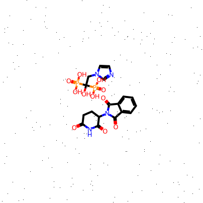 O=C1CCC(N2C(=O)c3ccccc3C2=O)C(=O)N1.O=P(O)(O)C(O)(Cn1ccnc1)P(=O)(O)O